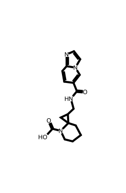 O=C(NCC1CC12CCCCN2C(=O)O)c1ccc2nccn2c1